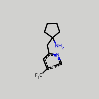 NC1(Cc2cc(C(F)(F)F)ccn2)CCCC1